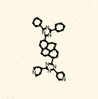 c1ccc(-c2nc(-c3ccccc3)nc(-c3ccc4ccc5c(-c6nc(-c7ccncc7)nc(-c7ccncc7)n6)ccc6ccc3c4c65)n2)cc1